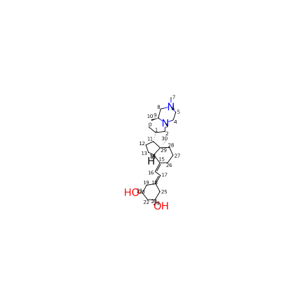 CC(CN1CCN(C)C[C@@H]1C)[C@H]1CC[C@H]2/C(=C/C=C3C[C@@H](O)C[C@H](O)C3)CCC[C@]12C